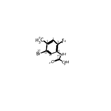 Cc1cc(F)c(NC(=O)O)cc1Br